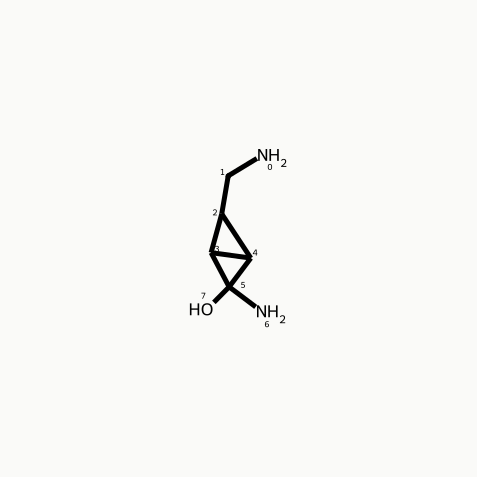 NCC1C2C1C2(N)O